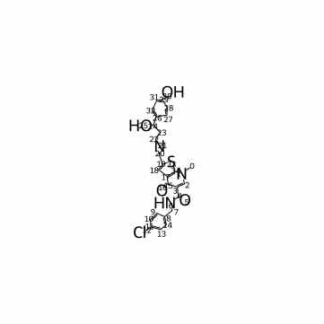 Cn1cc(C(=O)NCc2ccc(Cl)cc2)c(=O)c2cc(C=NCCC(O)c3ccc(O)cc3)sc21